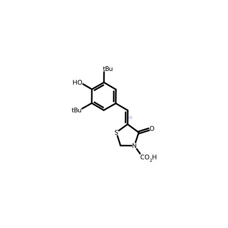 CC(C)(C)c1cc(/C=C2\SCN(C(=O)O)C2=O)cc(C(C)(C)C)c1O